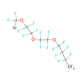 FC(F)(Br)OC(F)(F)C(F)(F)OC(F)(F)C(F)(F)OC(F)(F)C(F)(F)C(F)(F)C(F)(F)F